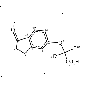 O=C1CCc2cc(OC(F)(F)C(=O)O)ccc21